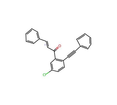 O=C(/C=C/c1ccccc1)c1cc(Cl)ccc1C#Cc1ccccc1